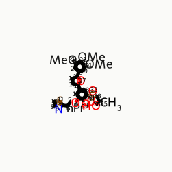 CCCOc1c(OCCc2nccs2)cc(C2CCC(c3cc(OC)c(OC)c(OC)c3)O2)cc1S(=O)(=O)CC(C)O